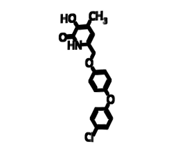 Cc1cc(COc2ccc(Oc3ccc(Cl)cc3)cc2)[nH]c(=O)c1O